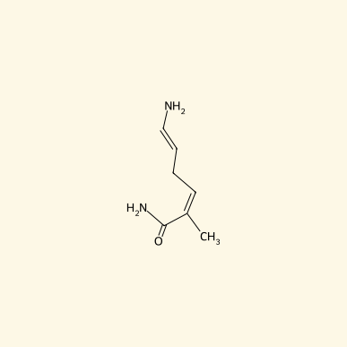 CC(=CCC=CN)C(N)=O